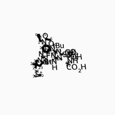 C#CCN1C(=O)COc2cc(F)c(/N=c3\snc4n3CC(C)(C)C4)cc21.CCNc1nc(NC(C)(C)C)nc(SC)n1.C[S+](C)C.O=C(O)CNCP(=O)([O-])O